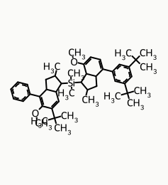 COC1=CC=C(c2cc(C(C)(C)C)cc(C(C)(C)C)c2)C2CC(C)C([Si](C)(C)C3C(C)CC4C(c5ccccc5)=C(OC)C(C(C)(C)C)=CC43)C12